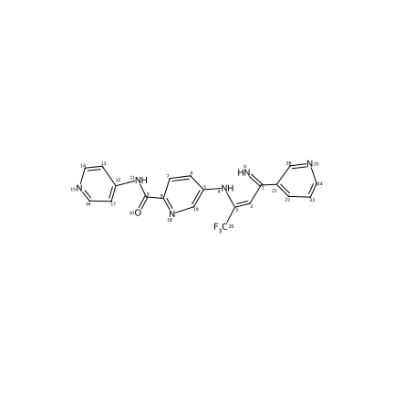 N=C(/C=C(\Nc1ccc(C(=O)Nc2ccncc2)nc1)C(F)(F)F)c1cccnc1